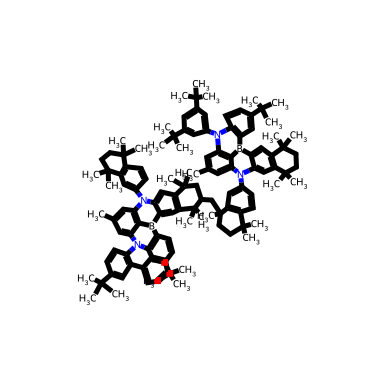 Cc1cc2c3c(c1)N(c1ccc4c(c1)C(C)(CC1CC(C)(C)c5cc6c(cc5C1(C)C)B1c5ccc(C(C)(C)C)cc5N(c5ccc(C(C)(C)C)cc5-c5ccccc5)c5cc(C)cc(c51)N6c1ccc5c(c1)C(C)(C)CCC5(C)C)CCC4(C)C)c1cc4c(cc1B3c1cc(C(C)(C)C)ccc1N2c1cc(C(C)(C)C)cc(C(C)(C)C)c1)C(C)(C)CCC4(C)C